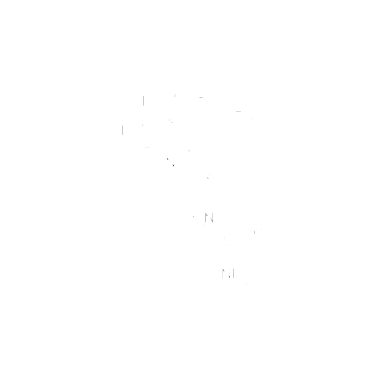 NCC(=O)N1CCC(Nc2cc(F)ccc2C(F)(F)F)CC1